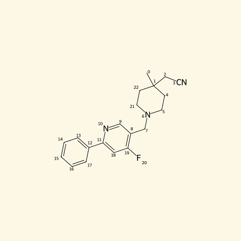 CC1(CC#N)CCN(Cc2cnc(-c3ccccc3)cc2F)CC1